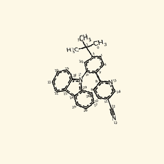 CC(C)(C)c1ccc(-c2ccc(C#N)cn2)c(-n2c3ccccc3c3ccccc32)c1